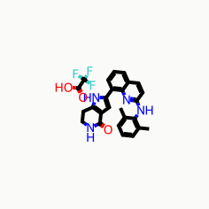 Cc1cccc(C)c1Nc1ccc2cccc(-c3cc4c([nH]3)CCNC4=O)c2n1.O=C(O)C(F)(F)F